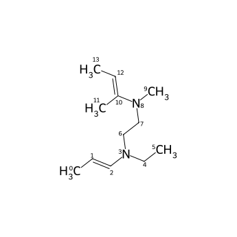 C/C=C/N(CC)CCN(C)/C(C)=C/C